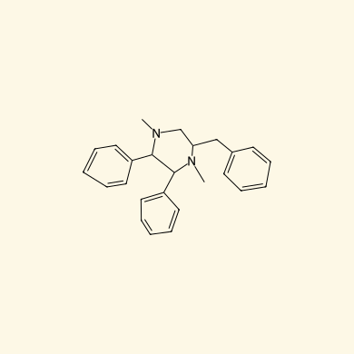 CN1CC(Cc2ccccc2)N(C)C(c2ccccc2)C1c1ccccc1